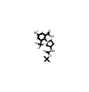 CC(C)(C)OC(=O)NC1CCN(c2c(C(=O)O)cc(Br)cc2C(F)(F)F)C1